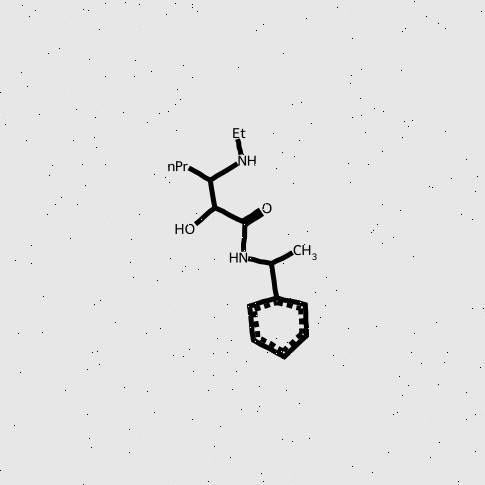 CCCC(NCC)C(O)C(=O)NC(C)c1ccccc1